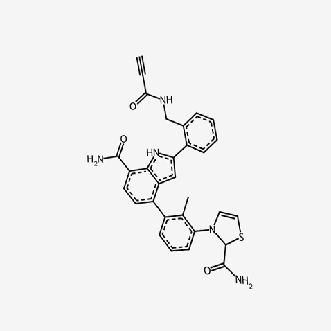 C#CC(=O)NCc1ccccc1-c1cc2c(-c3cccc(N4C=CSC4C(N)=O)c3C)ccc(C(N)=O)c2[nH]1